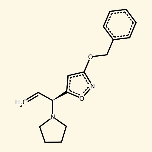 C=C[C@@H](c1cc(OCc2ccccc2)no1)N1CCCC1